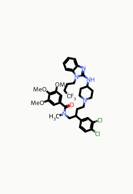 COc1cc(C(=O)N(C)CC(CCN2CCC(Nc3nc4ccccc4n3CCCC(F)(F)F)CC2)c2ccc(Cl)c(Cl)c2)cc(OC)c1OC